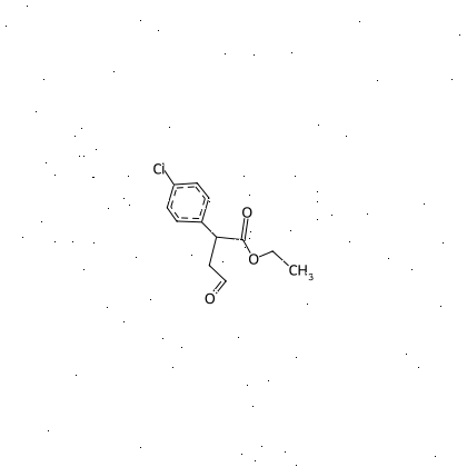 CCOC(=O)C(CC=O)c1ccc(Cl)cc1